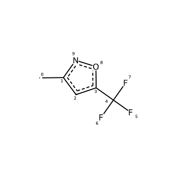 [CH2]c1cc(C(F)(F)F)on1